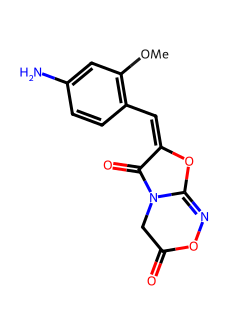 COc1cc(N)ccc1/C=c1/oc2n(c1=O)CC(=O)ON=2